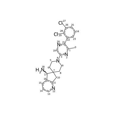 Cc1nc(N2CCC3(CC2)Cc2ncccc2[C@H]3N)cnc1-c1cccc(Cl)c1Cl